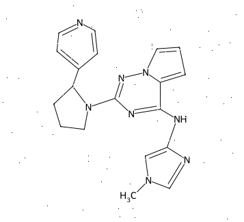 Cn1cnc(Nc2nc(N3CCCC3c3ccncc3)nn3cccc23)c1